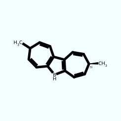 CC1C=CC2=C(C=C1)C1=C(B2)C=C[C@H](C)C=C1